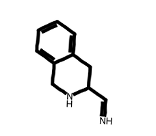 N=CC1Cc2ccccc2CN1